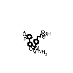 COc1cccc(-c2cccc(C3(c4ccc(CCCS(=O)(=O)O)cc4)N=C(N)N(C)C3=O)c2)c1F